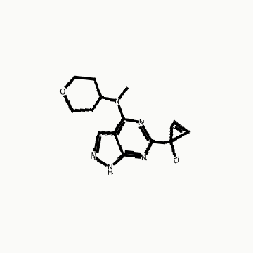 CN(c1nc(C2(Cl)C=C2)nc2[nH]ncc12)C1CCOCC1